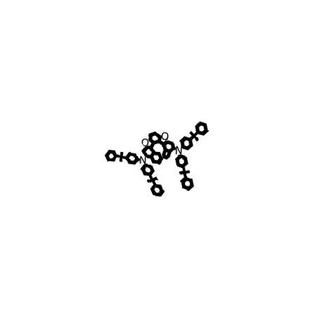 CC(C)(c1ccccc1)c1ccc(N(c2ccc(C(C)(C)c3ccccc3)cc2)c2cc3oc4ccc5oc6cc(N(c7ccc(C(C)(C)c8ccccc8)cc7)c7ccc(C(C)(C)c8ccccc8)cc7)c7ccccc7c6c5c4c3c3ccccc23)cc1